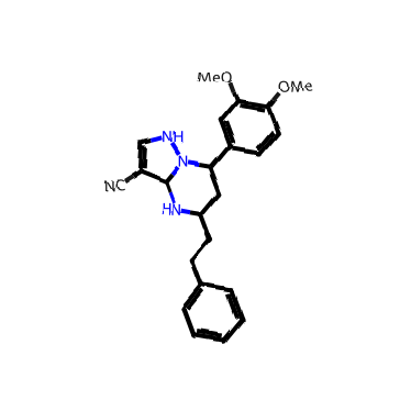 COc1ccc(C2CC(CCc3ccccc3)NC3C(C#N)=CNN32)cc1OC